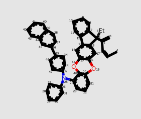 C=C(/C=C\C)C1(CC)c2ccccc2-c2cc3c(cc21)Oc1cccc(N(c2ccccc2)c2ccc(-c4ccc5ccccc5c4)cc2)c1O3